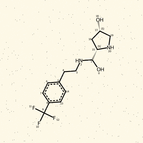 OC(NCCc1ccc(C(F)(F)F)cc1)[C@@H]1C[C@H](O)CN1